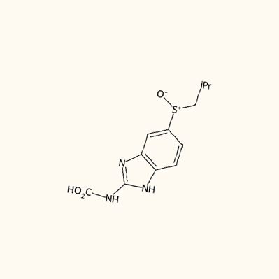 CC(C)C[S+]([O-])c1ccc2[nH]c(NC(=O)O)nc2c1